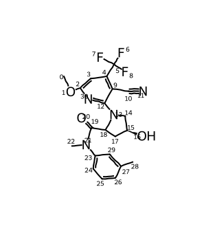 COc1cc(C(F)(F)F)c(C#N)c(N2C[C@@H](O)CC2C(=O)N(C)c2cccc(C)c2)n1